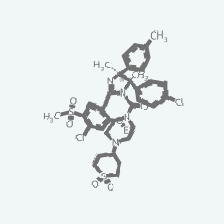 CCOc1cc(Cl)c(S(C)(=O)=O)cc1C1=N[C@@](C)(c2ccc(C)cc2)[C@@](C)(c2ccc(Cl)cc2)N1C(=O)N1CCN(C2CCS(=O)(=O)CC2)CC1